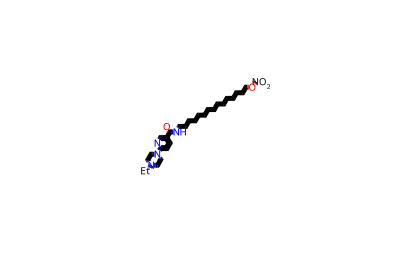 CCN1CCN(c2ccc(C(=O)NCCCCCCCCCCCCCCCO[N+](=O)[O-])cn2)CC1